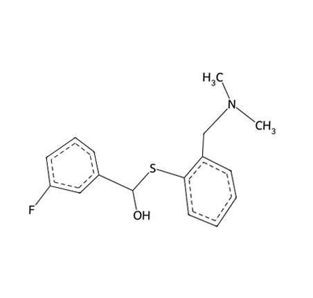 CN(C)Cc1ccccc1SC(O)c1cccc(F)c1